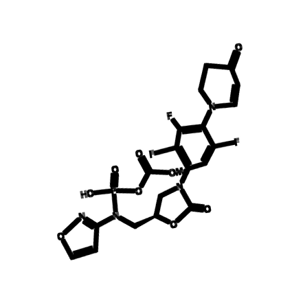 COC(=O)OP(=O)(O)N(C[C@H]1CN(c2cc(F)c(N3C=CC(=O)CC3)c(F)c2F)C(=O)O1)c1ccon1